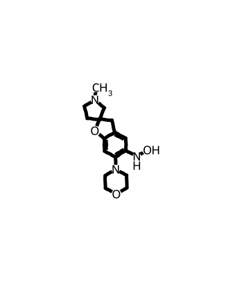 CN1CCC2(Cc3cc(NO)c(N4CCOCC4)cc3O2)C1